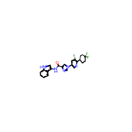 O=C(Nc1c[nH]c2ccccc12)c1cn(-c2cnc(C3CCC(F)(F)CC3)c(F)c2)cn1